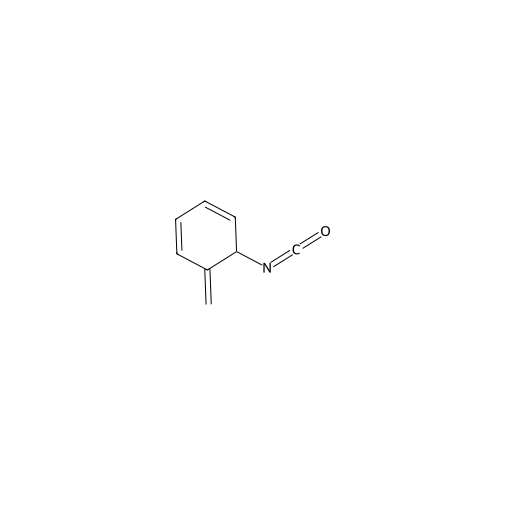 C=C1C=CC=CC1N=C=O